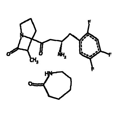 CC1C(=O)N2CCCC12C(=O)C[C@H](N)Cc1cc(F)c(F)cc1F.O=C1CCCCCN1